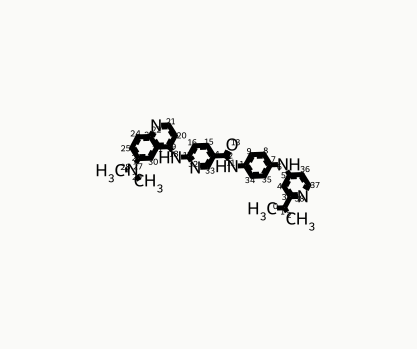 CC(C)c1cc(Nc2ccc(NC(=O)c3ccc(Nc4ccnc5ccc(N(C)C)cc45)nc3)cc2)ccn1